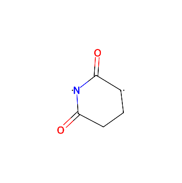 O=C1[CH]CCC(=O)[N]1